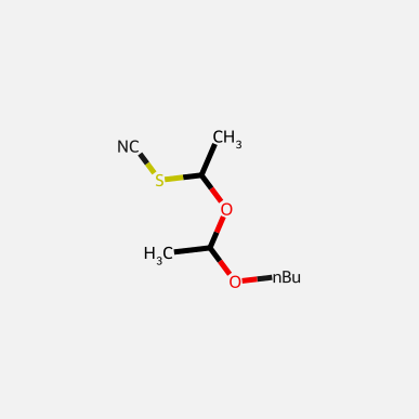 CCCCOC(C)OC(C)SC#N